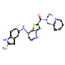 Cc1cc2cc(Nc3ccnc4cc(C(=O)N(C)Cc5ccccn5)sc34)ccc2[nH]1